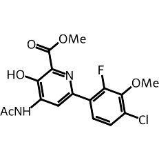 COC(=O)c1nc(-c2ccc(Cl)c(OC)c2F)cc(NC(C)=O)c1O